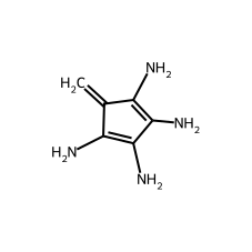 C=C1C(N)=C(N)C(N)=C1N